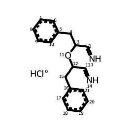 Cl.N=CC(Cc1ccccc1)OC(C=N)Cc1ccccc1